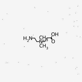 C[N+](C)(CCN)CCC(=O)O